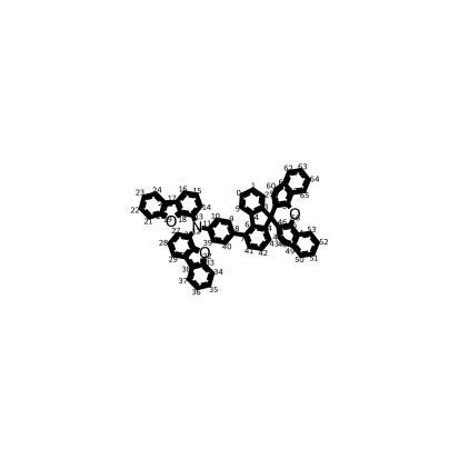 c1ccc2c(c1)-c1c(-c3ccc(N(c4cccc5c4oc4ccccc45)c4cccc5c4oc4ccccc45)cc3)cccc1C21c2ccc3ccccc3c2Oc2c1ccc1ccccc21